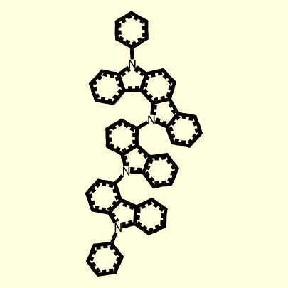 c1ccc(-n2c3ccccc3c3c(-n4c5ccccc5c5c(-n6c7ccccc7c7ccc8c(c9ccccc9n8-c8ccccc8)c76)cccc54)cccc32)cc1